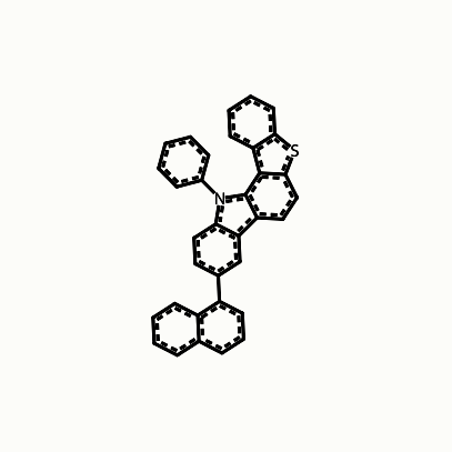 c1ccc(-n2c3ccc(-c4cccc5ccccc45)cc3c3ccc4sc5ccccc5c4c32)cc1